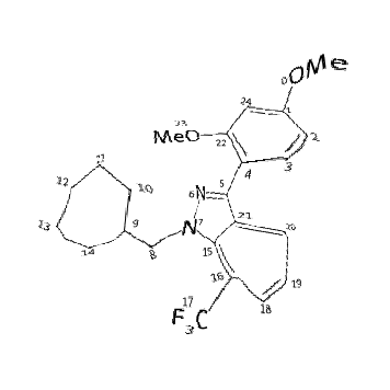 COc1ccc(-c2nn(CC3CCCCC3)c3c(C(F)(F)F)cccc23)c(OC)c1